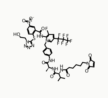 CC(C)[C@H](NC(=O)CCCCCN1C(=O)C=CC1=O)C(=O)N[C@@H](C)C(=O)Nc1ccc(C[n+]2cc(C(F)(F)C(F)(F)C(F)(F)F)cc(F)c2NC(=O)c2cc([N+](=O)[O-])ccc2Sc2nnnn2CCO)cc1